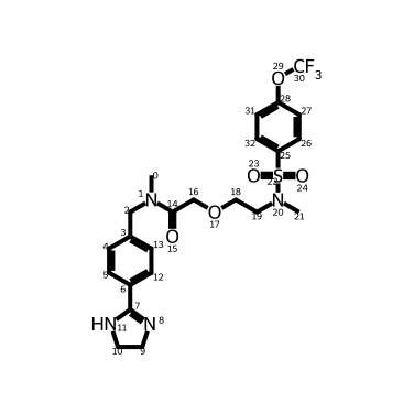 CN(Cc1ccc(C2=NCCN2)cc1)C(=O)COCCN(C)S(=O)(=O)c1ccc(OC(F)(F)F)cc1